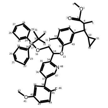 COC(=O)C(C)C(c1ccc(I)c(OC(CO[Si](c2ccccc2)(c2ccccc2)C(C)(C)C)c2ccc(-c3cc(OC)ccc3F)cn2)c1)C1CC1